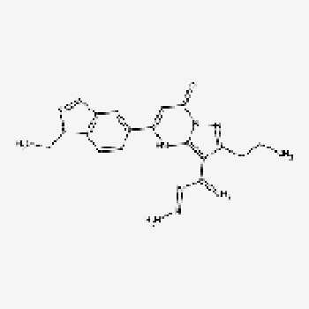 C=C(N=NN)c1c(CCC)nn2c(=O)cc(-c3ccc4c(cnn4CC)c3)[nH]c12